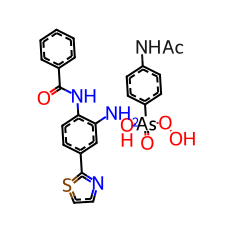 CC(=O)Nc1ccc([As](=O)(O)OO)cc1.Nc1cc(-c2nccs2)ccc1NC(=O)c1ccccc1